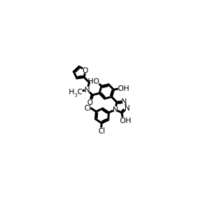 CN(Cc1ccco1)C(=O)c1cc(-c2nnc(O)n2-c2cc(Cl)cc(Cl)c2)c(O)cc1O